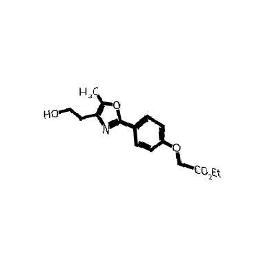 CCOC(=O)COc1ccc(-c2nc(CCO)c(C)o2)cc1